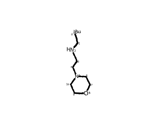 CCC(C)CNCCN1CCOCC1